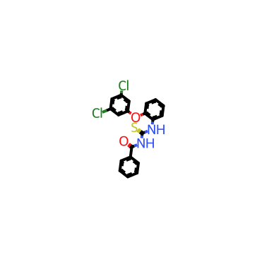 O=C(NC(=S)Nc1ccccc1Oc1cc(Cl)cc(Cl)c1)c1ccccc1